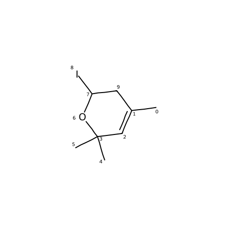 CC1=CC(C)(C)OC(I)C1